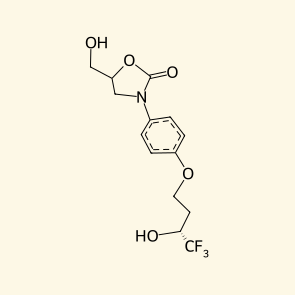 O=C1OC(CO)CN1c1ccc(OCC[C@@H](O)C(F)(F)F)cc1